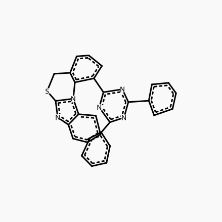 c1ccc(-c2nc(-c3ccccc3)nc(-c3cccc4c3-n3c(nc5ccccc53)SC4)n2)cc1